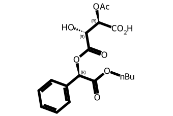 CCCCOC(=O)[C@H](OC(=O)[C@H](O)[C@@H](OC(C)=O)C(=O)O)c1ccccc1